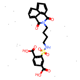 O=C(O)c1ccc(C(=O)O)c(S(=O)(=O)NCCCCN2C(=O)c3cccc4cccc(c34)C2=O)c1